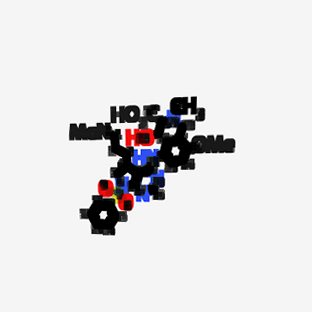 CNCCCC1CN(S(=O)(=O)c2ccccc2)c2ncnc(Nc3ccc(OC)c(CN(C)C(CO)C(=O)O)c3)c21